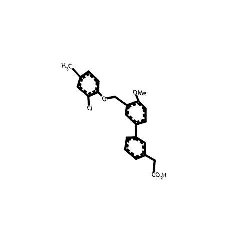 COc1ccc(-c2cccc(CC(=O)O)c2)cc1COc1ccc(C)cc1Cl